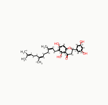 CC(C)=CCCC(C)=CCCC(C)=CCc1c(O)cc2c(c1O)C(=O)CC(c1cc(O)cc(O)c1)O2